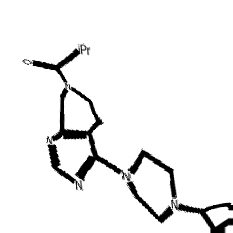 CC(C)C(=O)N1CCc2c(ncnc2N2CCN(C3CCC3)CC2)C1